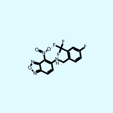 O=[N+]([O-])c1c(NCc2ccc(F)cc2C(F)(F)F)ccc2nonc12